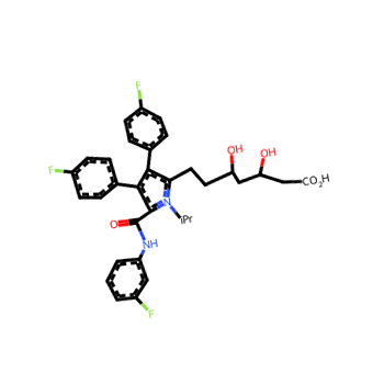 CC(C)n1c(CCC(O)CC(O)CC(=O)O)c(-c2ccc(F)cc2)c(-c2ccc(F)cc2)c1C(=O)Nc1cccc(F)c1